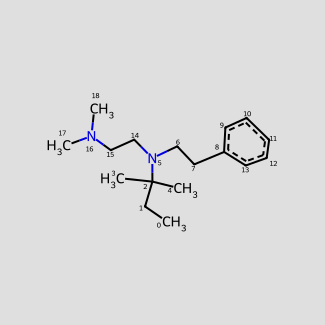 CCC(C)(C)N(CCc1ccccc1)CCN(C)C